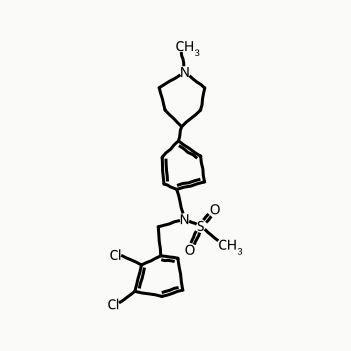 CN1CCC(c2ccc(N(Cc3cccc(Cl)c3Cl)S(C)(=O)=O)cc2)CC1